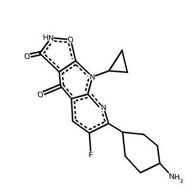 NC1CCC(c2nc3c(cc2F)c(=O)c2c(=O)[nH]oc2n3C2CC2)CC1